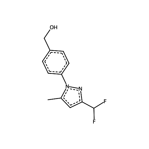 Cc1cc(C(F)F)nn1-c1ccc(CO)cc1